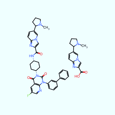 CN1CCCC1c1ccc2nc(C(=O)N[C@H]3CC[C@@H](n4c(=O)c5cc(F)cnc5n(-c5cccc(-c6ccccc6)c5)c4=O)CC3)cn2c1.CN1CCCC1c1ccc2nc(C(=O)O)cn2c1